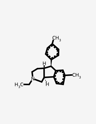 CCN1CC[C@@H]2[C@@H](c3ccc(C)cc3)c3cc(C)ccc3[C@H]2C1